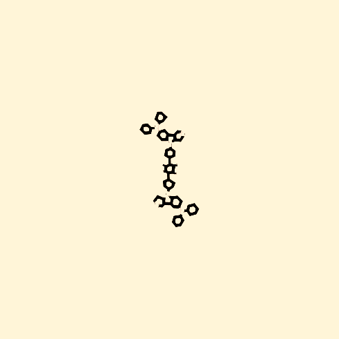 Fc1c(F)c(-c2ccc(-n3c4ccncc4c4cc(N(c5ccccc5)c5ccccc5)ccc43)cc2)c(F)c(F)c1-c1ccc(-n2c3ccncc3c3cc(N(c4ccccc4)c4ccccc4)ccc32)cc1